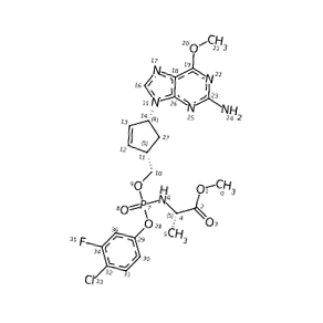 COC(=O)[C@H](C)NP(=O)(OC[C@@H]1C=C[C@H](n2cnc3c(OC)nc(N)nc32)C1)Oc1ccc(Cl)c(F)c1